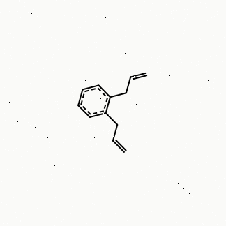 C=CCc1ccccc1CC=C